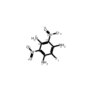 Nc1c(F)c(N)c([N+](=O)[O-])c(N)c1[N+](=O)[O-]